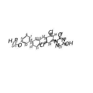 CC(P)Oc1cccc(-c2cccc(Cc3c(Cl)cc(-n4ncc(O)nc4=O)cc3Cl)c2)c1